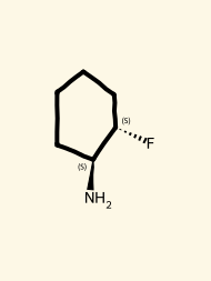 N[C@H]1CCCC[C@@H]1F